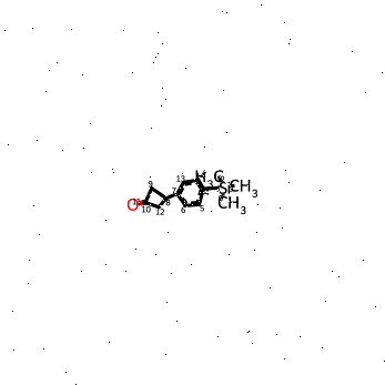 C[Si](C)(C)c1ccc(C2CC(=O)C2)cc1